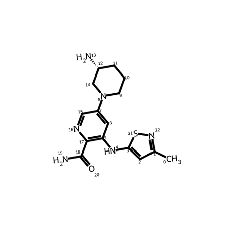 Cc1cc(Nc2cc(N3CCC[C@@H](N)C3)cnc2C(N)=O)sn1